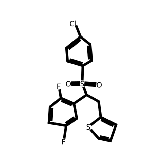 O=S(=O)(c1ccc(Cl)cc1)C(Cc1cccs1)c1cc(F)ccc1F